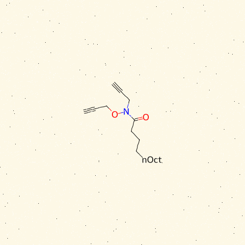 C#CCON(CC#C)C(=O)CCCCCCCCCCC